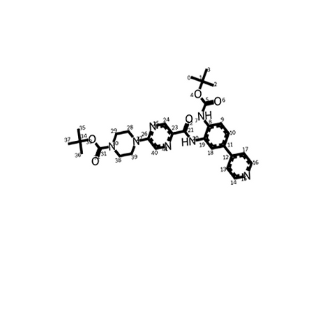 CC(C)(C)OC(=O)Nc1ccc(-c2ccncc2)cc1NC(=O)c1cnc(N2CCN(C(=O)OC(C)(C)C)CC2)cn1